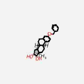 C[C@]12CC[C@@H]3c4ccc(OCc5ccccc5)cc4CC[C@H]3[C@@H]1C[C@@H](O)[C@@H]2O